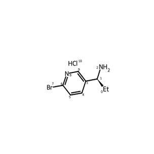 CC[C@H](N)c1ccc(Br)nc1.Cl